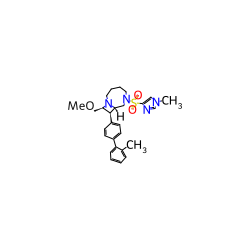 COC[C@@H]1[C@H](c2ccc(-c3ccccc3C)cc2)[C@H]2CN(S(=O)(=O)c3cn(C)cn3)CCCCN12